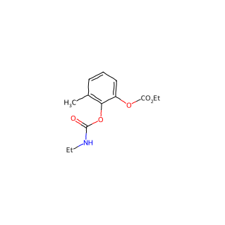 CCNC(=O)Oc1c(C)cccc1OC(=O)OCC